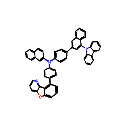 c1ccc2cc(N(c3ccc(-c4cc(-n5c6ccccc6c6ccccc65)c5ccccc5c4)cc3)c3ccc(-c4cccc5oc6cccnc6c45)cc3)ccc2c1